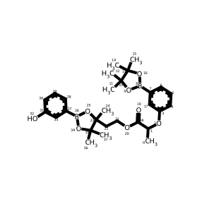 CC(Oc1cccc(B2OC(C)(C)C(C)(C)O2)c1)C(=O)OCCC1(C)OB(c2cccc(O)c2)OC1(C)C